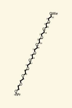 CCCOCCOCCOCCOCCOCCOCCOCCOCCOCCOCCOC